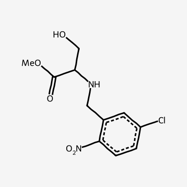 COC(=O)C(CO)NCc1cc(Cl)ccc1[N+](=O)[O-]